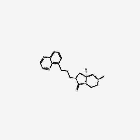 CN1CCN2C(=O)[C@@H](CCCc3cccc4nccnc34)C[C@H]2C1